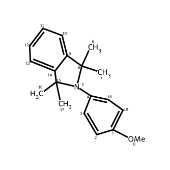 COc1ccc(N2C(C)(C)c3ccccc3C2(C)C)cc1